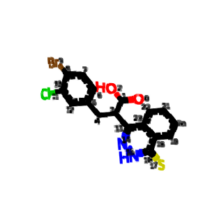 O=C(O)C(Cc1ccc(Br)c(Cl)c1)c1n[nH]c(=S)c2ccccc12